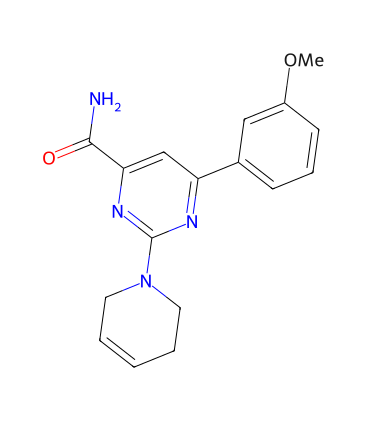 COc1cccc(-c2cc(C(N)=O)nc(N3CC=CCC3)n2)c1